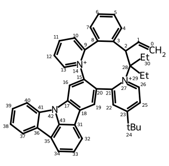 C=CC1c2ccccc2-c2cccc[n+]2-c2cc3c(cc2-c2cc(C(C)(C)C)cc[n+]2C1(CC)CC)c1cccc2c4ccccc4n3c21